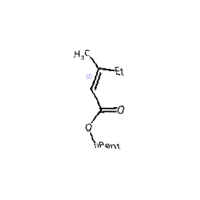 CCCCCOC(=O)/C=C(/C)CC